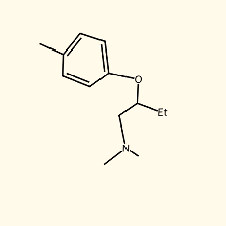 CCC(CN(C)C)Oc1ccc(C)cc1